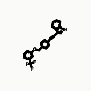 FC(F)(F)c1cccc(OCc2ccc(C#Cc3c[nH]c4ccccc34)cc2)c1